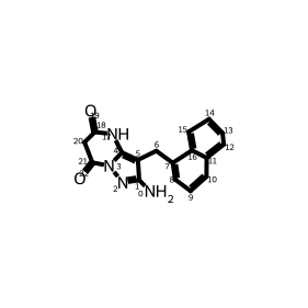 Nc1nn2c(c1Cc1cccc3ccccc13)NC(=O)CC2=O